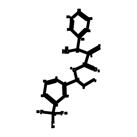 C=C(C(=O)OC(CC)c1cccc(C(F)(F)F)c1)C(O)c1cccnc1